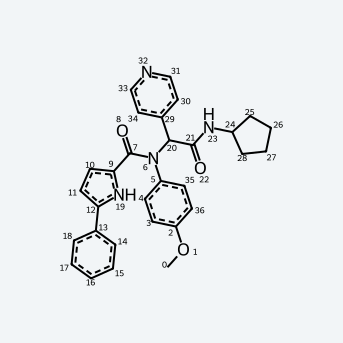 COc1ccc(N(C(=O)c2ccc(-c3ccccc3)[nH]2)C(C(=O)NC2CCCC2)c2ccncc2)cc1